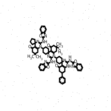 CC1(C)CC(=O)C2=C(C1)N(C1CCC3(CC1)N=C(Nc1nc4ccccc4o1)N(C1CCC4(CC1)N=C(Nc1nc5ccccc5o1)NC1=C4C(=O)CC(c4ccccc4)C1)C1=C3C(=O)CC(C)(C)C1)C(Nc1nc3ccccc3o1)=NC21CCCC1